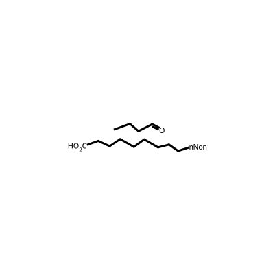 CCCC=O.CCCCCCCCCCCCCCCCCC(=O)O